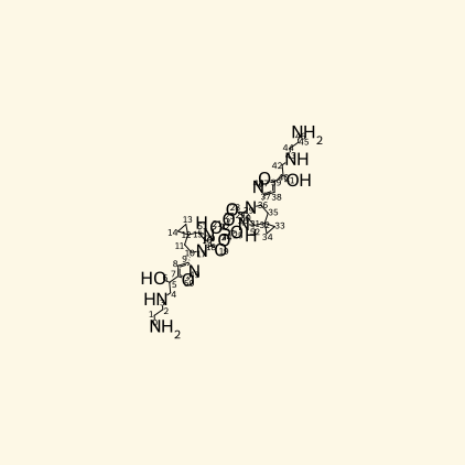 NCCNC[C@@H](O)c1cc([C@@H]2CC3(CC3)[C@@H]3CN2C(=O)N3OS(=O)(=O)ON2C(=O)N3C[C@H]2C2(CC2)C[C@H]3c2cc([C@H](O)CNCCN)on2)no1